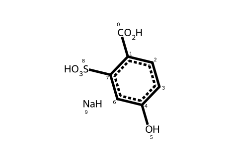 O=C(O)c1ccc(O)cc1S(=O)(=O)O.[NaH]